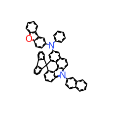 c1ccc(N(c2cc3c4c(ccc5c4c4c(cccc4n5-c4ccc5ccccc5c4)C34c3ccccc3-c3ccccc34)c2)c2ccc3oc4ccccc4c3c2)cc1